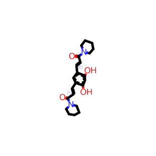 O=C(/C=C/c1cc(/C=C/C(=O)N2CCCCC2)c(O)cc1O)N1CCCCC1